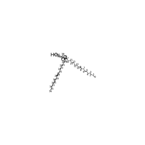 CCCCCC=CCC=CCCCCCCCCC1(CCCCCCCCC=CCC=CCCCCC)OC[C@H](CCO)O1